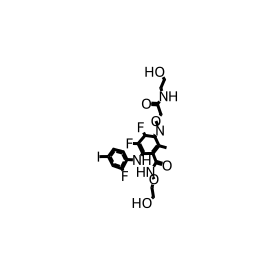 CC1=C(C(=O)NOCCO)C(Nc2ccc(I)cc2F)=C(F)C(F)C1=NOCC(=O)NCCO